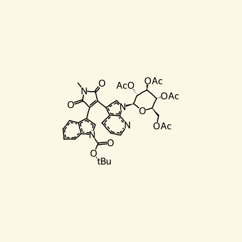 CC(=O)OC[C@H]1O[C@@H](n2cc(C3=C(c4cn(C(=O)OC(C)(C)C)c5ccccc45)C(=O)N(C)C3=O)c3cccnc32)[C@H](OC(C)=O)[C@@H](OC(C)=O)[C@@H]1OC(C)=O